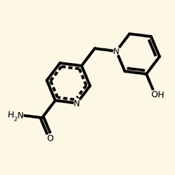 NC(=O)c1ccc(CN2C=C(O)C=CC2)cn1